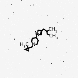 CCC(C)Cc1cnn(C2CCN(CC3(C)CC3)CC2)c1